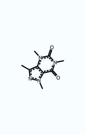 Cc1nn(C)c2c(=O)n(C)c(=O)n(C)c12